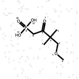 COCC(C)(C)C(=O)CP(=O)(O)O